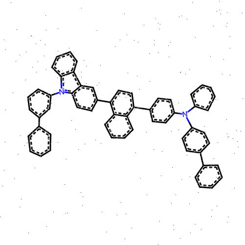 c1ccc(-c2ccc(N(c3ccccc3)c3ccc(-c4ccc(-c5ccc6c(c5)c5ccccc5n6-c5cccc(-c6ccccc6)c5)c5ccccc45)cc3)cc2)cc1